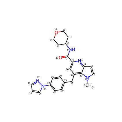 Cn1ccc2nc(C(=O)NC3CCOCC3)cc(Cc3ccc(-n4cccn4)cc3)c21